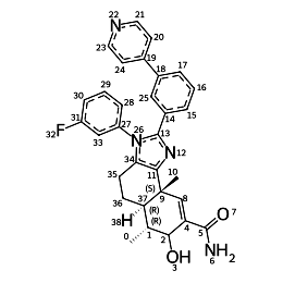 C[C@H]1C(O)C(C(N)=O)=C[C@@]2(C)c3nc(-c4cccc(-c5ccncc5)c4)n(-c4cccc(F)c4)c3CC[C@H]12